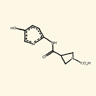 O=C(Nc1ccc(O)cn1)C1CN(C(=O)O)C1